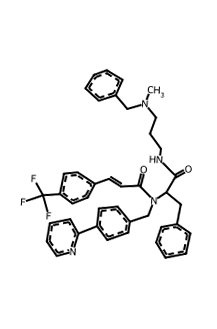 CN(CCCNC(=O)C(Cc1ccccc1)N(Cc1ccc(-c2ccccn2)cc1)C(=O)C=Cc1ccc(C(F)(F)F)cc1)Cc1ccccc1